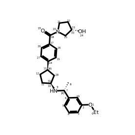 CCOc1cccc([C@@H](C)N[C@H]2CC[C@@H](c3ccc(C(=O)N4CC[C@H](O)C4)cc3)C2)c1